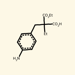 CCOC(=O)C(CC)(Cc1ccc(N)cc1)C(=O)O